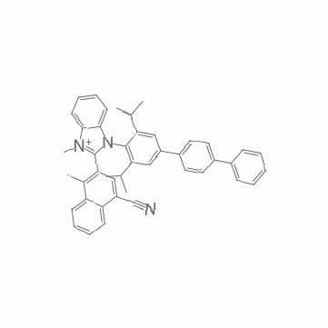 Cc1c(-c2n(-c3c(C(C)C)cc(-c4ccc(-c5ccccc5)cc4)cc3C(C)C)c3ccccc3[n+]2C)cc(C#N)c2ccccc12